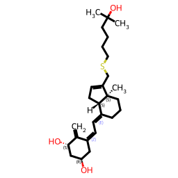 C=C1/C(=C\C=C2/CCC[C@]3(C)C(CSCCCCC(C)(C)O)=CC[C@@H]23)C[C@@H](O)C[C@@H]1O